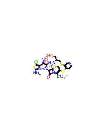 Nc1nc(/C(=N/O)C(=O)N[C@@H]2C(=O)N3C(C(=O)O)=C(Sc4ccncc4SCC(N)CO)CS[C@@H]23)c(Cl)s1